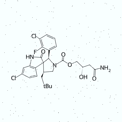 CC(C)(C)C[C@@H]1CN(C(=O)OC[C@@H](O)CC(N)=O)[C@H](c2cccc(Cl)c2F)C12C(=O)Nc1cc(Cl)ccc12